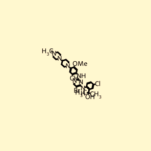 COc1cc(Nc2ncc(Br)c(Nc3ccc(Cl)cc3C(C)(C)O)n2)c(C)cc1N1CCC(N2CCN(C)CC2)CC1